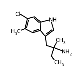 CCC(C)(N)Cc1c[nH]c2cc(Cl)c(C)cc12